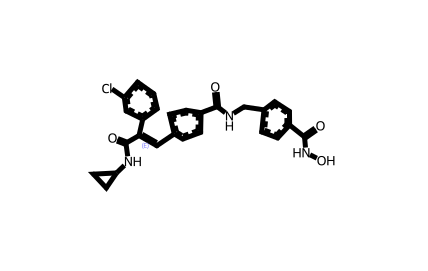 O=C(NC1CC1)/C(=C/c1ccc(C(=O)NCc2ccc(C(=O)NO)cc2)cc1)c1cccc(Cl)c1